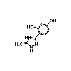 C=C1NN=C(c2ccc(O)cc2O)N1